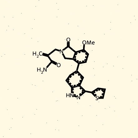 C=C(CN1Cc2c(-c3ccc4[nH]nc(-c5cccs5)c4c3)ccc(OC)c2C1=O)C(N)=O